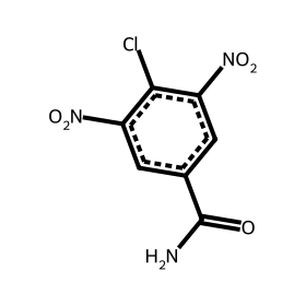 NC(=O)c1cc([N+](=O)[O-])c(Cl)c([N+](=O)[O-])c1